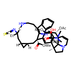 CCC1(N=C=S)CNCCc2c([nH]c3ccccc23)[C@@](C(=O)OC)(c2cc([C@]3(C)CCN4CC=C[C@@](CC)([C@@H](OC(C)=O)C(C)(O)C(=O)OC)[C@H]43)c(N(C)C)cc2OC)C[C@@H]2C[C@@H]2C1